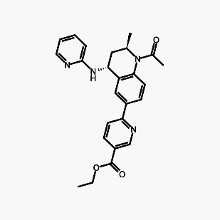 CCOC(=O)c1ccc(-c2ccc3c(c2)[C@H](Nc2ccccn2)C[C@@H](C)N3C(C)=O)nc1